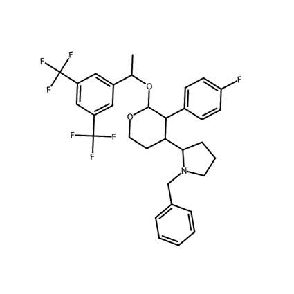 CC(OC1OCCC(C2CCCN2Cc2ccccc2)C1c1ccc(F)cc1)c1cc(C(F)(F)F)cc(C(F)(F)F)c1